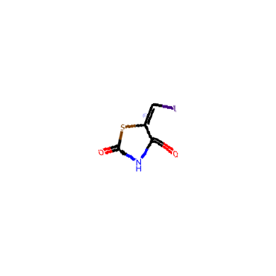 O=C1NC(=O)/C(=C\I)S1